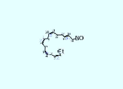 CC/C=C\C/C=C\C/C=C\C/C=C\CC/C=C/CN=O